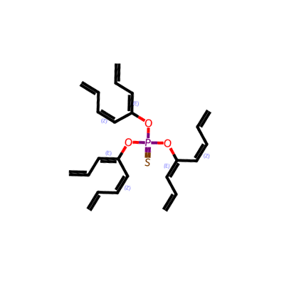 C=C/C=C\C(=C/C=C)OP(=S)(OC(/C=C\C=C)=C/C=C)OC(/C=C\C=C)=C/C=C